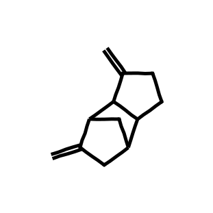 C=C1CC2CC1C1C(=C)CCC21